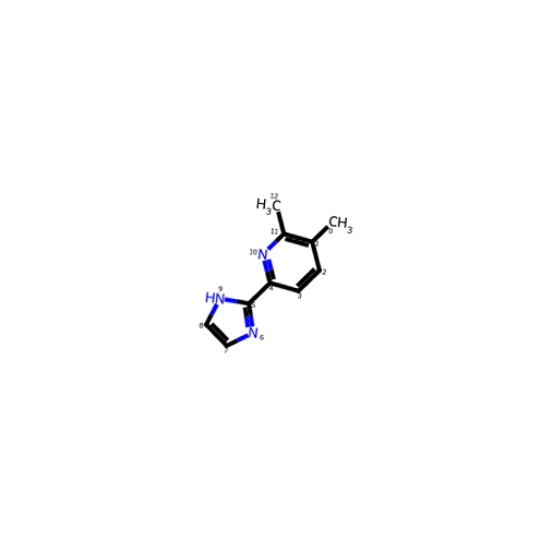 Cc1ccc(-c2ncc[nH]2)nc1C